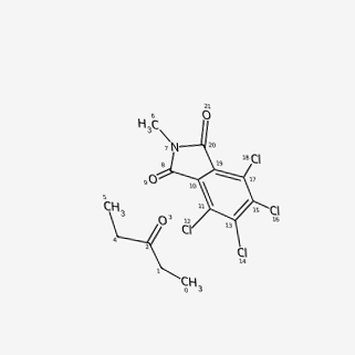 CCC(=O)CC.CN1C(=O)c2c(Cl)c(Cl)c(Cl)c(Cl)c2C1=O